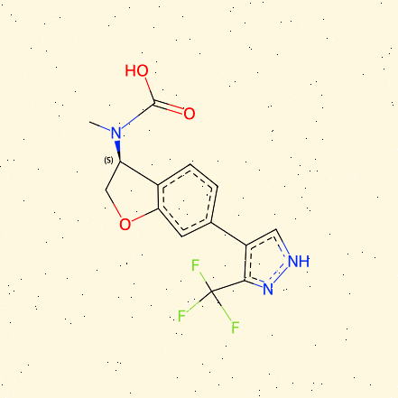 CN(C(=O)O)[C@@H]1COc2cc(-c3c[nH]nc3C(F)(F)F)ccc21